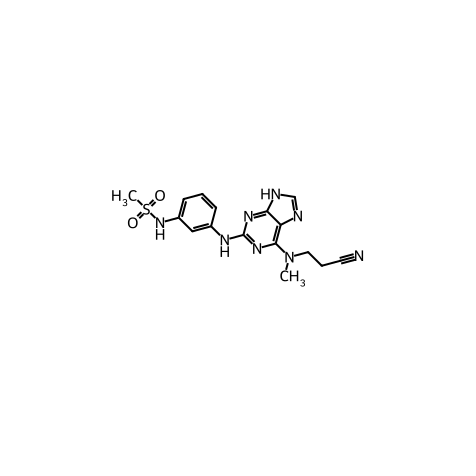 CN(CCC#N)c1nc(Nc2cccc(NS(C)(=O)=O)c2)nc2[nH]cnc12